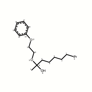 CC(C)CCCCCC(C)(O)OCCOc1ccccc1